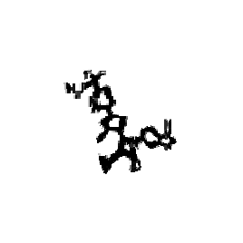 Cc1cc(-c2ccc(C(F)(F)P)nn2)ccc1[C@@H]1C(C2CC2)C(=O)N1c1ccc2[nH]cnc2c1